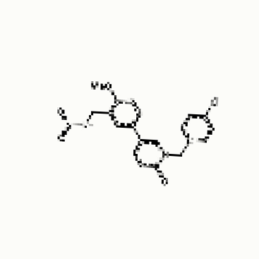 COc1ccc(-c2ccc(=O)n(Cc3ccc(Cl)cc3)c2)cc1CN[SH](=O)=O